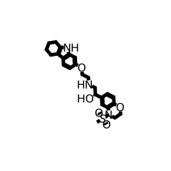 CS(=O)(=O)N1CCOc2ccc([C@@H](O)CNCCOc3ccc4c5c([nH]c4c3)CCCC5)cc21